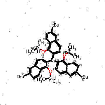 C[SiH](C)Oc1[c]([Bi]([c]2ccc3cc(C(C)(C)C)ccc3c2O[SiH](C)C)[c]2ccc3cc(C(C)(C)C)ccc3c2O[SiH](C)C)ccc2cc(C(C)(C)C)ccc12